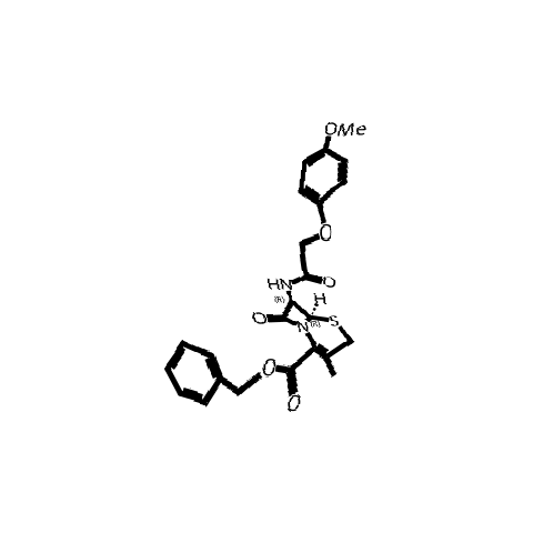 COc1ccc(OCC(=O)N[C@@H]2C(=O)N3C(C(=O)OCc4ccccc4)=C(C)CS[C@H]23)cc1